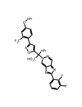 CCCOc1ccc(-c2cc(C(CCC)(C(=O)O)n3cc4nc(-c5cccc(F)c5F)nc-4cn3)on2)c(C(F)(F)F)c1